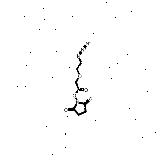 [N-]=[N+]=NCCOCC(=O)ON1C(=O)CCC1=O